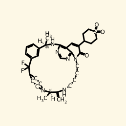 C=C1NCCCCn2c(=O)c(C3CCS(=O)(=O)CC3)cc3c(ncnc32)N[C@H](C)c2cccc(c2)C(F)(F)C2CCN(CC2)[C@@H]1C